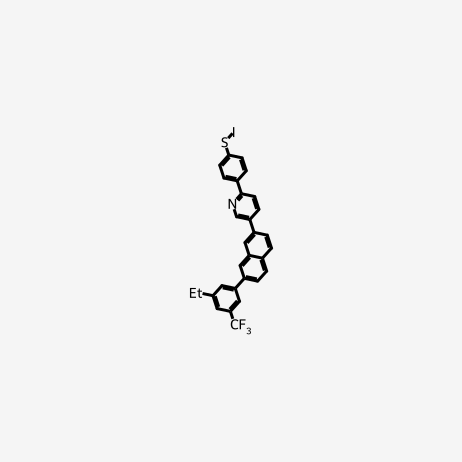 CCc1cc(-c2ccc3ccc(-c4ccc(-c5ccc(SI)cc5)nc4)cc3c2)cc(C(F)(F)F)c1